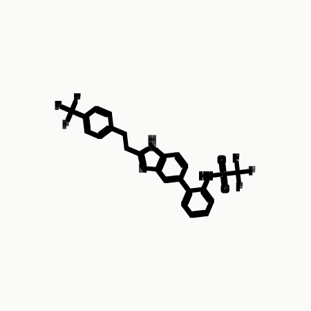 O=S(=O)(Nc1ccccc1-c1ccc2[nH]c(CCc3ccc(C(F)(F)F)cc3)nc2c1)C(F)(F)F